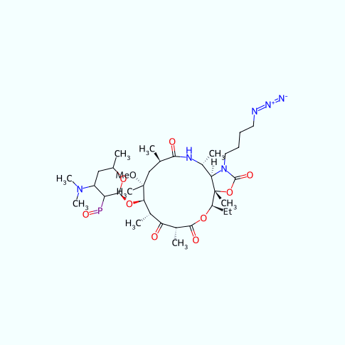 CC[C@H]1OC(=O)[C@H](C)C(=O)[C@H](C)[C@@H](O[C@@H]2OC(C)CC(N(C)C)C2P=O)[C@](C)(OC)C[C@@H](C)C(=O)N[C@H](C)[C@H]2N(CCCCN=[N+]=[N-])C(=O)O[C@]12C